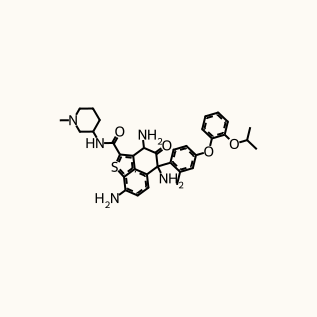 Cc1cc(Oc2ccccc2OC(C)C)ccc1C1(N)C(=O)C(N)c2c(C(=O)NC3CCCN(C)C3)sc3c(N)ccc1c23